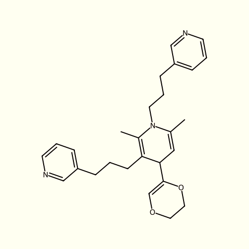 CC1=CC(C2=COCCO2)C(CCCc2cccnc2)=C(C)N1CCCc1cccnc1